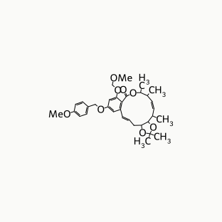 COCOc1cc(OCc2ccc(OC)cc2)cc2c1C(=O)OC(C)C(C)/C=C\C(C)C1OC(C)(C)OC1C/C=C/2